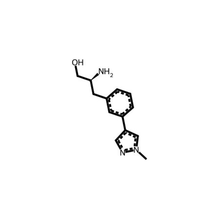 Cn1cc(-c2cccc(C[C@H](N)CO)c2)cn1